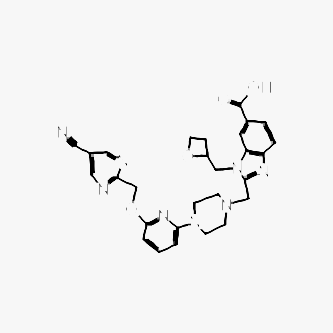 N#Cc1cnc(COc2cccc(N3CCN(Cc4nc5ccc(C(=O)O)cc5n4CC4CCO4)CC3)n2)nc1